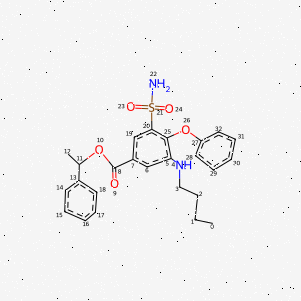 CCCCNc1cc(C(=O)OC(C)c2ccccc2)cc(S(N)(=O)=O)c1Oc1ccccc1